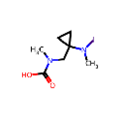 CN(CC1(N(C)I)CC1)C(=O)O